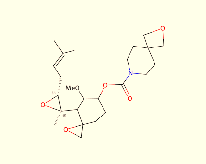 COC1C(OC(=O)N2CCC3(CC2)COC3)CCC2(CO2)C1[C@@]1(C)O[C@@H]1CC=C(C)C